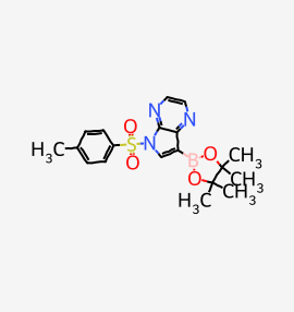 Cc1ccc(S(=O)(=O)n2cc(B3OC(C)(C)C(C)(C)O3)c3nccnc32)cc1